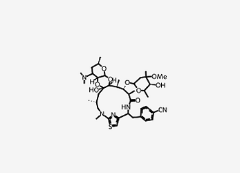 COC1(C)CC(O[C@@H]2C(C)C(=O)NC(Cc3ccc(C#N)cc3)c3csc(n3)N(C)C[C@H](C)C[C@]3(O)O[C@H]4C(O[C@H](C)CC4N(C)C)O[C@@H]3[C@H]2C)OC(C)[C@@H]1O